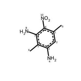 Cc1cc(N)c(C)c(N)c1[N+](=O)[O-]